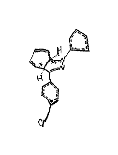 Clc1ccc(C2=NN(c3ccccc3)[C@@H]3C=CC=C[C@H]23)cc1